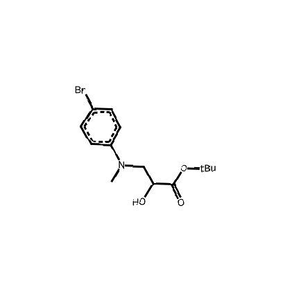 CN(CC(O)C(=O)OC(C)(C)C)c1ccc(Br)cc1